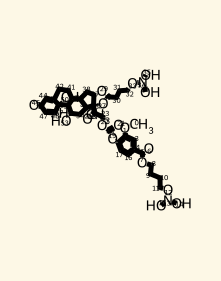 COc1cc(C(=O)OCCCCON(O)O)ccc1OC(=O)OCC(=O)[C@@]1(OC(=O)CCCON(O)O)CCC2C3CCC4=CC(=O)C=C[C@]4(C)[C@H]3[C@@H](O)C[C@@]21C